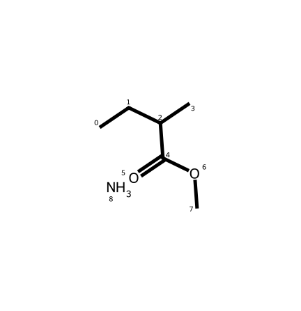 CCC(C)C(=O)OC.N